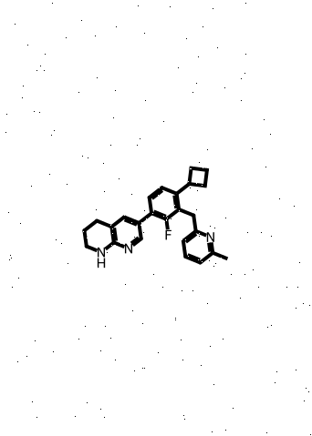 Cc1cccc(Cc2c(C3CCC3)ccc(-c3cnc4c(c3)CCCN4)c2F)n1